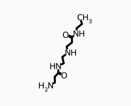 CCCNC(=O)CCNCCNC(=O)CCN